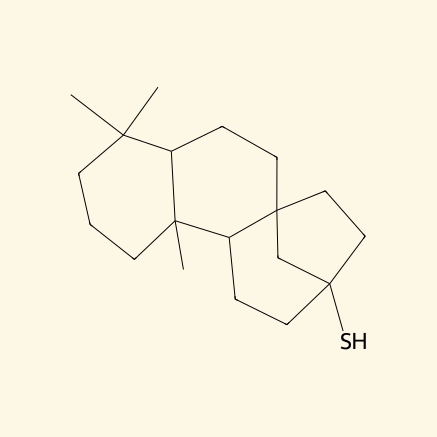 CC1(C)CCCC2(C)C1CCC13CCC(S)(CCC12)C3